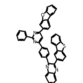 c1ccc(-c2nc(-c3ccc(-c4nc5ccccc5nc4-c4ccc5sc6ccccc6c5c4)cc3)cc(-c3ccc4c(c3)oc3ccccc34)n2)cc1